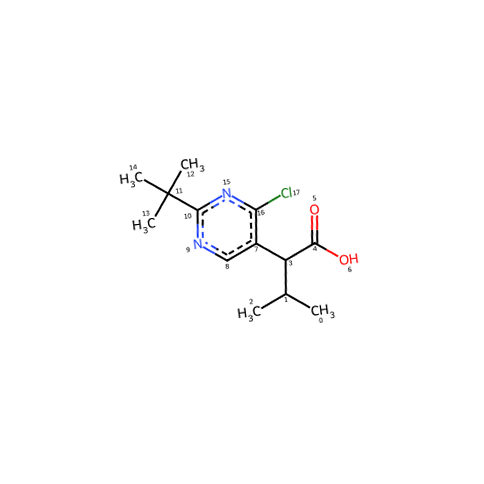 CC(C)C(C(=O)O)c1cnc(C(C)(C)C)nc1Cl